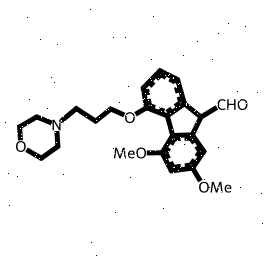 COc1cc(OC)c2c(c1)C(C=O)c1cccc(OCCCN3CCOCC3)c1-2